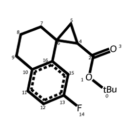 CC(C)(C)OC(=O)C1CC12CCCc1ccc(F)cc12